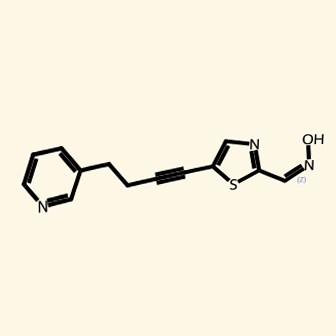 O/N=C\c1ncc(C#CCCc2cccnc2)s1